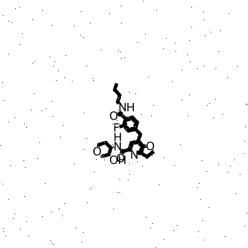 CCCCNC(=O)c1ccc(Cc2cc(C(=O)N[C@H]3CCOC[C@@H]3O)nc3c2OCC3)cc1F